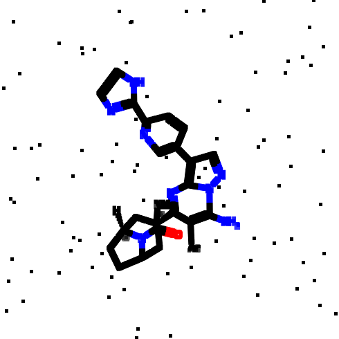 CNC(=O)N1C2CC[C@H]1C[C@@H](c1nc3c(-c4ccc(-c5ncc[nH]5)nc4)cnn3c(N)c1C(C)=O)C2